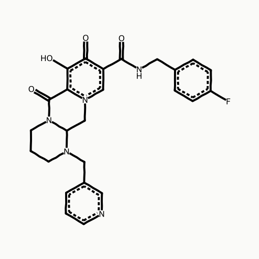 O=C(NCc1ccc(F)cc1)c1cn2c(c(O)c1=O)C(=O)N1CCCN(Cc3cccnc3)C1C2